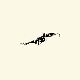 CCCCCCCCOC(=O)CNC(=O)Oc1ncc(C(=O)NCCCOCCCC)cc1OC